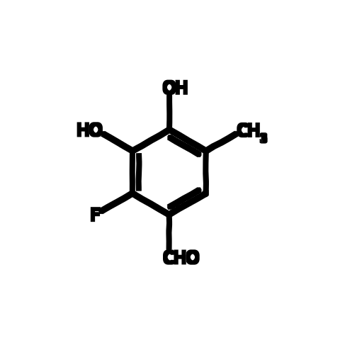 Cc1cc(C=O)c(F)c(O)c1O